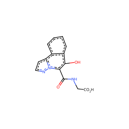 O=C(O)CNC(=O)c1c(O)c2ccccc2c2ccnn12